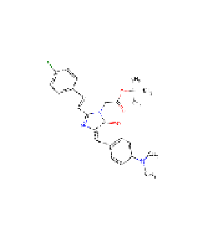 CN(C)c1ccc(/C=C2N=C(/C=C/c3ccc(F)cc3)N(CC(=O)OC(C)(C)C)C/2=O)cc1